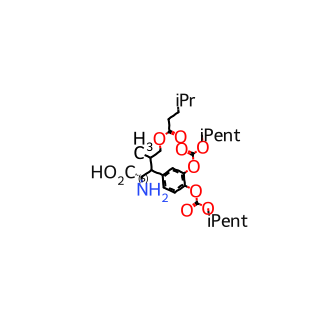 CCCC(C)OC(=O)Oc1ccc(C(C(C)COC(=O)CCC(C)C)[C@H](N)C(=O)O)cc1OC(=O)OC(C)CCC